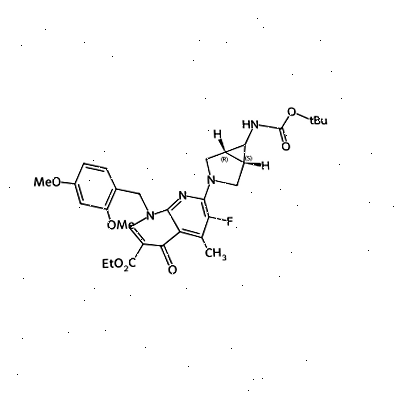 CCOC(=O)c1cn(Cc2ccc(OC)cc2OC)c2nc(N3C[C@@H]4C(NC(=O)OC(C)(C)C)[C@@H]4C3)c(F)c(C)c2c1=O